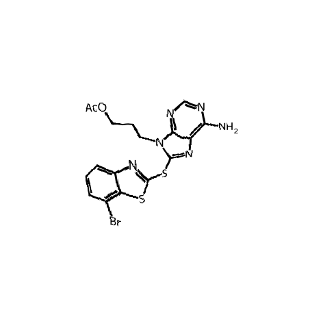 CC(=O)OCCCn1c(Sc2nc3cccc(Br)c3s2)nc2c(N)ncnc21